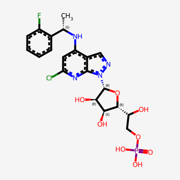 C[C@H](Nc1cc(Cl)nc2c1cnn2[C@@H]1O[C@H](C(O)COP(=O)(O)O)[C@@H](O)[C@H]1O)c1ccccc1F